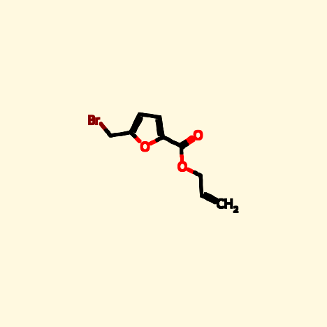 C=CCOC(=O)c1ccc(CBr)o1